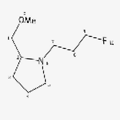 COCC1CCCN1CCCF